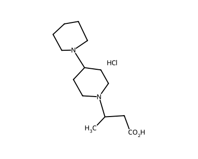 CC(CC(=O)O)N1CCC(N2CCCCC2)CC1.Cl